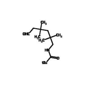 CC(C)(CC=O)CC(C)(C)CNC(=O)C(C)(C)C